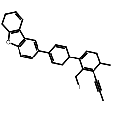 CC#CC1=C(CI)C(C2C=CC(c3ccc4oc5c(c4c3)C=CCC5)=CC2)=CCC1C